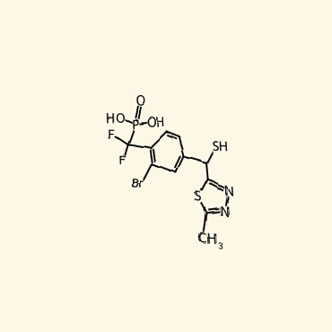 Cc1nnc(C(S)c2ccc(C(F)(F)P(=O)(O)O)c(Br)c2)s1